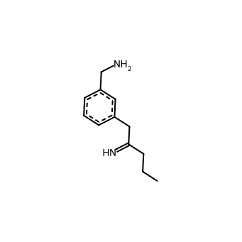 CCCC(=N)Cc1cccc(CN)c1